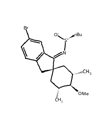 CCCC[S@+]([O-])/N=C1\c2cc(Br)ccc2C[C@@]12C[C@@H](C)[C@H](OC)[C@@H](C)C2